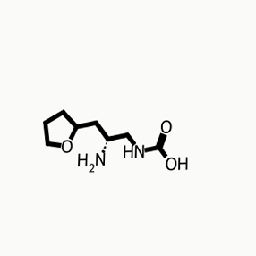 N[C@@H](CNC(=O)O)CC1CCCO1